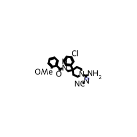 COc1ccccc1C(=O)NCC1(c2cccc(Cl)c2)CCN(/C(N)=N\C#N)CC1